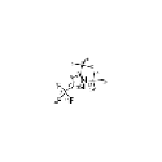 CC(C)(C)c1cc(C(F)(F)F)nn1C(C)(C)C